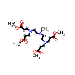 COC(=O)CCN(CCC(=O)OC)CCN(C)CCN(CCC(=O)OC)CCC(=O)OC